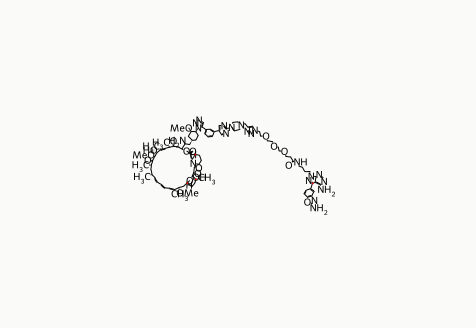 CO[C@H]1C[C@@H]2CC[C@@H](C)[C@@](O)(O2)C(=O)C(=O)N2CCCC[C@H]2C(=O)OC([C@H](N)C[C@@H]2CC[C@H](n3nncc3-c3cccc(-c4cnc(N5CCN(Cc6cn(CCOCCOCCOCCC(=O)NCCCCn7nc(-c8ccc9oc(N)nc9c8)c8c(N)ncnc87)nn6)CC5)nc4)c3)[C@H](OC)C2)CC(=O)[C@H](C)/C=C(\C)[C@@H](O)[C@@H](OC)C(=O)[C@H](C)C[C@H](C)/C=C/C=C/C=C/1C